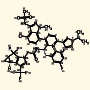 CC(C)n1cc(-c2ccc(-c3ccc(Cl)c4c(NS(C)(=O)=O)nn(C)c34)c([C@H](Cc3cc(F)cc(F)c3)NC(=O)Cn3nc(C(F)(F)F)c4c3C(F)(F)C3C[C@H]43)n2)cn1